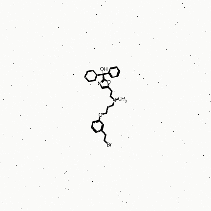 CN(CCCOc1cccc(CCBr)c1)CCc1cnc([C@](O)(c2ccccc2)C2CCCCC2)o1